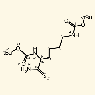 CC(C)(C)OC(=O)NCCCC[C@H](NC(=O)OC(C)(C)C)C(N)=S